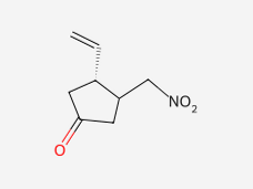 C=C[C@H]1CC(=O)CC1C[N+](=O)[O-]